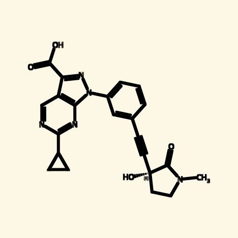 CN1CC[C@@](O)(C#Cc2cccc(-n3nc(C(=O)O)c4cnc(C5CC5)nc43)c2)C1=O